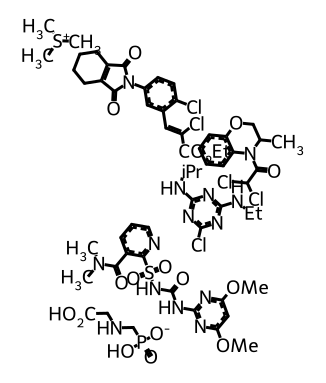 CC1COc2ccccc2N1C(=O)C(Cl)Cl.CCNc1nc(Cl)nc(NC(C)C)n1.CCOC(=O)/C(Cl)=C/c1cc(N2C(=O)C3=C(CCCC3)C2=O)ccc1Cl.COc1cc(OC)nc(NC(=O)NS(=O)(=O)c2ncccc2C(=O)N(C)C)n1.C[S+](C)C.O=C(O)CNCP(=O)([O-])O